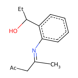 CCC(O)c1ccccc1/N=C(\C)CC(C)=O